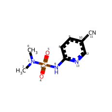 CN(C)S(=O)(=O)Nc1ccc(C#N)cn1